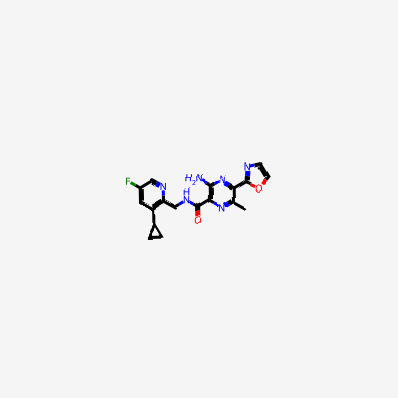 Cc1nc(C(=O)NCc2ncc(F)cc2C2CC2)c(N)nc1-c1ncco1